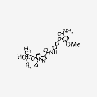 COc1ccc(C(N)=O)c(OC2CC3(CC(NC(=O)c4cnn5c(C6CC6)c(OCC(C)(C)O)ccc45)C3)C2)c1